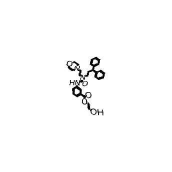 O=C(OCCO)c1cccc(NC(=O)N(CCC(c2ccccc2)c2ccccc2)CCN2CCOCC2)c1